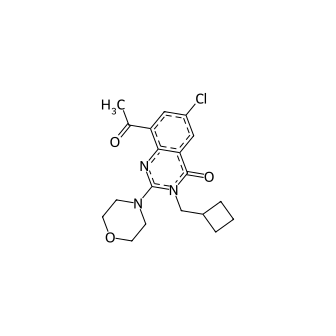 CC(=O)c1cc(Cl)cc2c(=O)n(CC3CCC3)c(N3CCOCC3)nc12